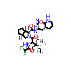 CC(C)(C)C(NC(=O)C(F)F)C(=O)N1C[C@@H]2CCC[C@@H]2[C@H]1C(=O)N[C@H](C#N)C[C@@H]1CCCNC1=O